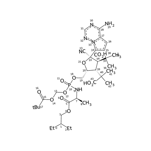 CCC(CC)COC(=O)[C@H](C)NP(=O)(OCOC(=O)C(C)(C)C)OC[C@@H]1O[C@@](C#N)(c2ccc3c(N)ncnn23)[C@@H](C(C)(C)C(=O)O)[C@@H]1C(C)(C)C(=O)O